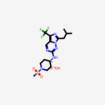 CC(C)Cc1nc(C(F)(F)F)c2cnc(N[C@@H]3CCN(S(C)(=O)=O)C[C@H]3O)nn12